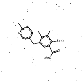 COC(=O)c1cc(Cc2ccc(C)nc2)c(C)c(C)c1C=O